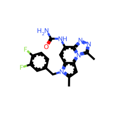 Cc1cc2c(cc(NC(N)=O)c3nnc(C)n32)n1Cc1ccc(F)c(F)c1